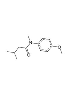 COc1ccc(N(C)C(=O)CC(C)C)cc1